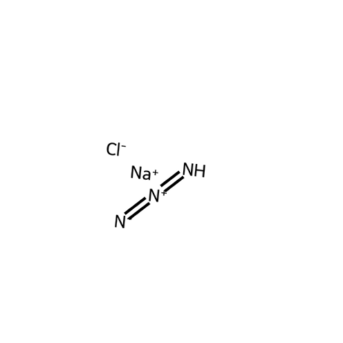 [Cl-].[N-]=[N+]=N.[Na+]